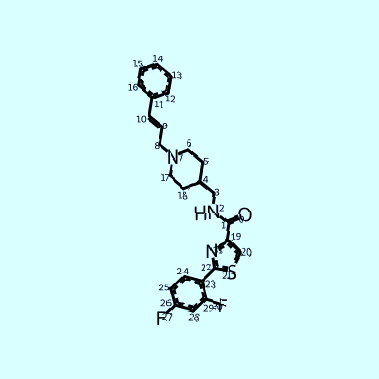 O=C(NCC1CCN(CC=Cc2ccccc2)CC1)c1csc(-c2ccc(F)cc2F)n1